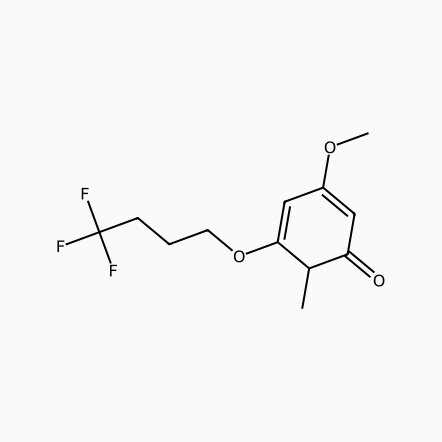 COC1=CC(=O)C(C)C(OCCCC(F)(F)F)=C1